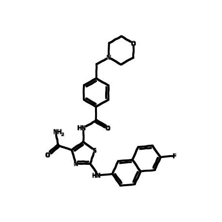 NC(=O)c1nc(Nc2ccc3cc(F)ccc3c2)sc1NC(=O)c1ccc(CN2CCOCC2)cc1